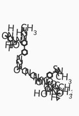 Cc1ncsc1-c1ccc([C@H](CC(=O)N2CCC(N3CCC(C(=O)N4CCN(Cc5cccc(-c6ccc(N7CCN(C)CC7)c(NC(=O)c7c[nH]c(=O)cc7C(F)(F)F)c6)c5)CC4)CC3)CC2)NC(=O)[C@@H]2C[C@@H](O)CN2C(=O)[C@@H](NC(=O)C2(F)CC2)C(C)(C)C)cc1